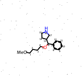 COCCCCOC(c1ccccc1)C1CCNC1